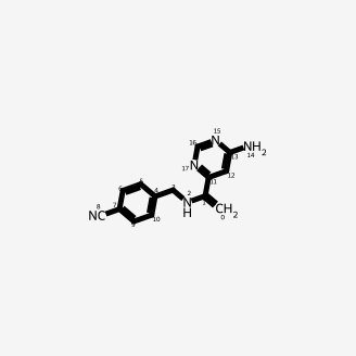 C=C(NCc1ccc(C#N)cc1)c1cc(N)ncn1